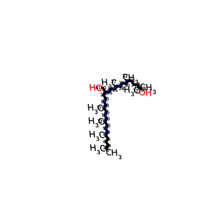 CC(C)=CCC/C(C)=C/C=C/C(C)=C/C=C/C(C)=C/C=C/C=C(\C=C\C=C(C)\C=C\C=C(/C)CCCC(C)(C)O)CO